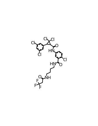 O=C(CC(F)(F)F)NCCCCNC(=O)c1cc(NC(=O)C2C(c3cc(Cl)cc(Cl)c3)C2(Cl)Cl)ccc1Cl